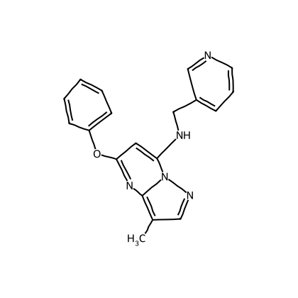 Cc1cnn2c(NCc3cccnc3)cc(Oc3ccccc3)nc12